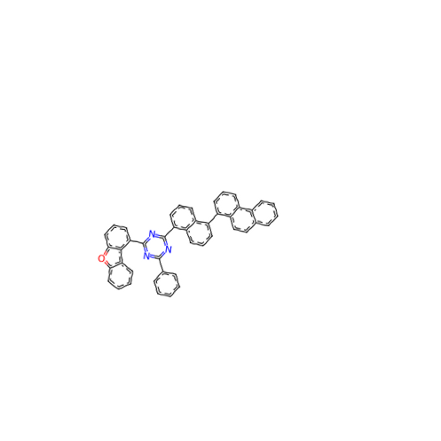 c1ccc(-c2nc(-c3cccc4c(-c5cccc6c5ccc5ccccc56)cccc34)nc(-c3cccc4oc5ccccc5c34)n2)cc1